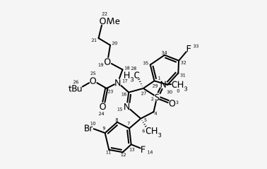 CN=S1(=O)C[C@@](C)(c2cc(Br)ccc2F)N=C(N(COCCOC)C(=O)OC(C)(C)C)[C@@]1(C)c1ccc(F)cc1